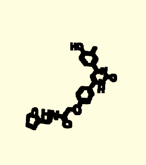 Cc1cc(-c2cc(-c3ccc(OCC(=O)NCC4CCCO4)cc3)[nH]c(=O)n2)ccc1O